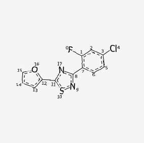 Fc1cc(Cl)ccc1-c1nsc(-c2ccco2)n1